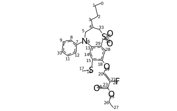 CCCCC1CN(c2ccccc2)c2cc(SC)c(O/C=C(\F)C(=O)OCC)cc2S(=O)(=O)C1